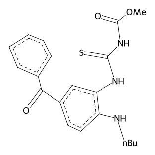 CCCCNc1ccc(C(=O)c2ccccc2)cc1NC(=S)NC(=O)OC